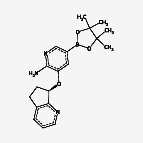 CC1(C)OB(c2cnc(N)c(O[C@@H]3CCc4cccnc43)c2)OC1(C)C